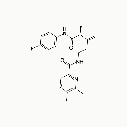 C=C(CCNC(=O)c1ccc(C)c(C)n1)[C@H](C)C(=O)Nc1ccc(F)cc1